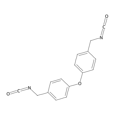 O=C=NCc1ccc(Oc2ccc(CN=C=O)cc2)cc1